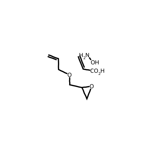 C=CC(=O)O.C=CCOCC1CO1.NO